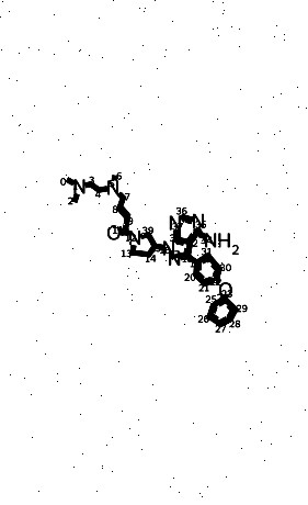 CN(C)CCN(C)C/C=C/C(=O)N1CCC(n2nc(-c3ccc(Oc4ccccc4)cc3)c3c(N)ncnc32)C1